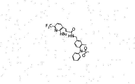 CCCCc1nc(C(F)(F)F)ccc1/C=C/C(=O)NCc1ccc(N(c2ccccc2)S(C)(=O)=O)c(C)c1